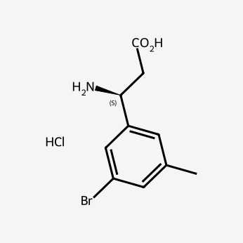 Cc1cc(Br)cc([C@@H](N)CC(=O)O)c1.Cl